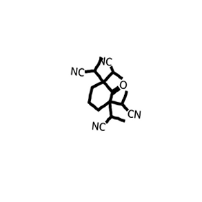 CC(C#N)C1(C(C)C#N)CCCC(C(C)C#N)(C(C)C#N)C1=O